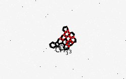 CC1(C)c2ccccc2-c2cccc(-c3ccccc3N(c3ccccc3-c3ccccc3)c3cccc(-c4ccccc4)c3-c3ccccc3-c3ccccc3)c21